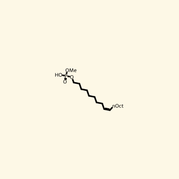 CCCCCCCC/C=C\CCCCCCCCOP(=O)(O)OC